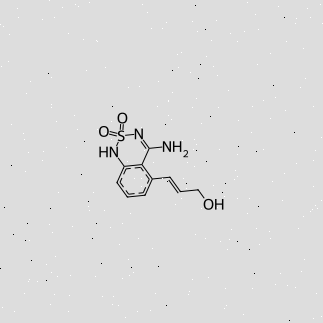 NC1=NS(=O)(=O)Nc2cccc(/C=C/CO)c21